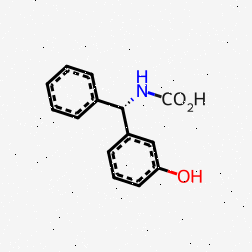 O=C(O)N[C@@H](c1ccccc1)c1cccc(O)c1